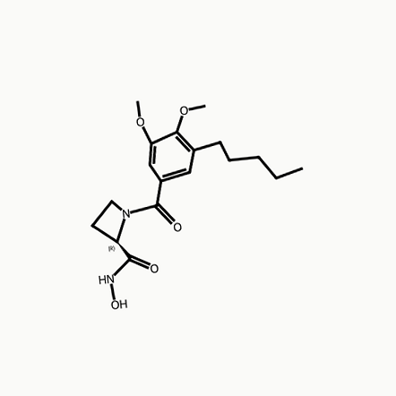 CCCCCc1cc(C(=O)N2CC[C@@H]2C(=O)NO)cc(OC)c1OC